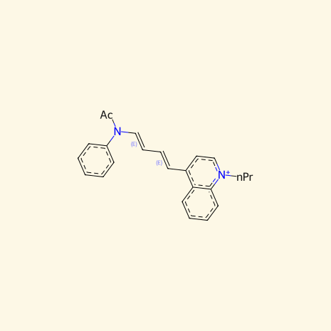 CCC[n+]1ccc(/C=C/C=C/N(C(C)=O)c2ccccc2)c2ccccc21